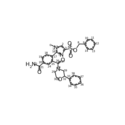 Cn1cc(S(=O)(=O)OCc2ccccc2)nc1-c1ccc(C(N)=O)cc1C(=O)N1CCOC(c2ccccc2)C1